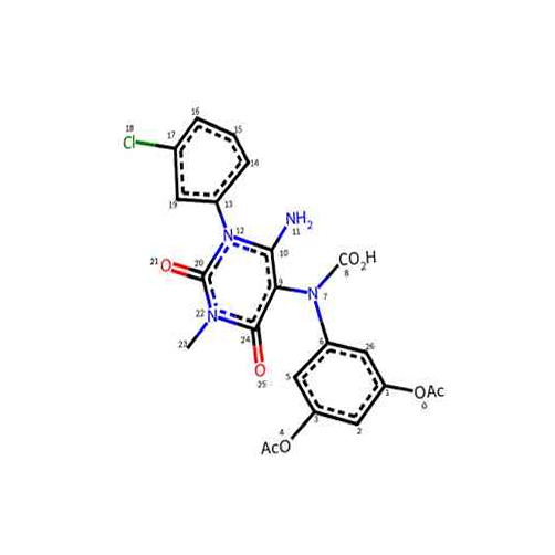 CC(=O)Oc1cc(OC(C)=O)cc(N(C(=O)O)c2c(N)n(-c3cccc(Cl)c3)c(=O)n(C)c2=O)c1